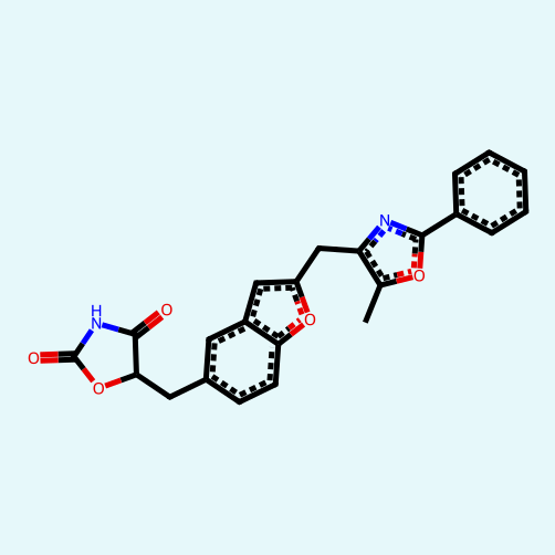 Cc1oc(-c2ccccc2)nc1Cc1cc2cc(CC3OC(=O)NC3=O)ccc2o1